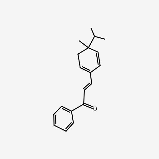 CC(C)C1(C)C=CC(C=CC(=O)c2ccccc2)=CC1